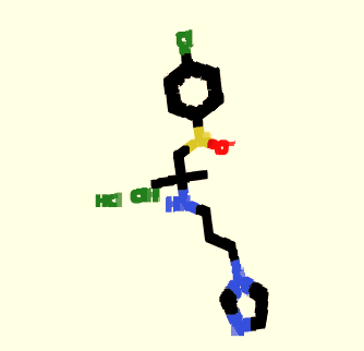 CC(C)(C[S+]([O-])c1ccc(Cl)cc1)NCCCn1ccnc1.Cl.Cl